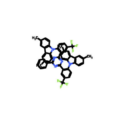 Cc1ccc2c(c1)c1cc(C)ccc1n2-c1ccc(C(F)(F)F)cc1-c1nc(-c2ccccc2)nc(-c2cc(C(F)(F)F)ccc2-n2c3ccc(C)cc3c3cc(C)ccc32)n1